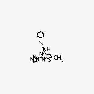 Cc1cc2c(NCCCc3ccccc3)nc(-n3ccnn3)nc2s1